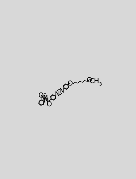 COCCCCCCCOc1ccc(N2CCN(c3ccc(C(=O)n4n[n+]([O-])c5ccccc54)cc3)CC2)cc1